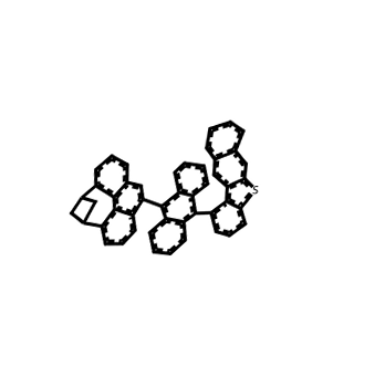 c1ccc2cc3c(cc2c1)sc1cccc(-c2c4ccccc4c(-c4cc5cccc6c5c5c(cccc45)C4CC6C4)c4ccccc24)c13